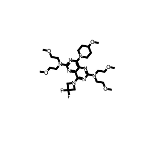 COCCN(CCOC)c1nc(N2CC(F)(F)C2)c2nc(N(CCOC)CCOC)nc(N3CCC(OC)CC3)c2n1